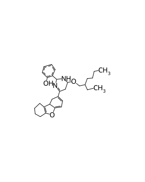 CCCCC(CC)COC1CC(C2=CC=C3OC4=C(CCCC4)C3C2)=NC(c2ccccc2O)N1